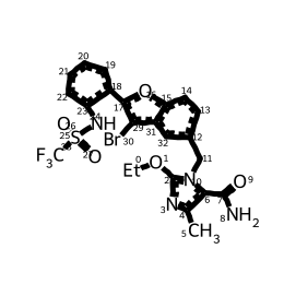 CCOc1nc(C)c(C(N)=O)n1Cc1ccc2oc(-c3ccccc3NS(=O)(=O)C(F)(F)F)c(Br)c2c1